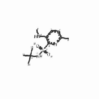 CNc1ccc(C)nc1S(=O)(=O)NC(C)(C)C